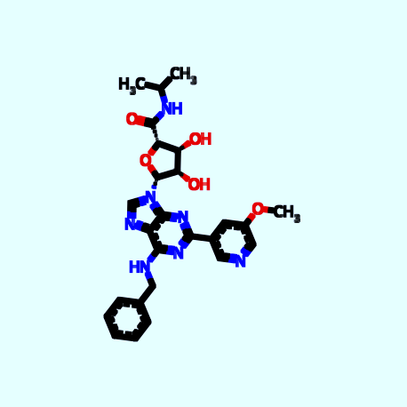 COc1cncc(-c2nc(NCc3ccccc3)c3ncn([C@@H]4O[C@H](C(=O)NC(C)C)[C@@H](O)[C@H]4O)c3n2)c1